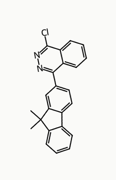 CC1(C)c2ccccc2-c2ccc(-c3nnc(Cl)c4ccccc34)cc21